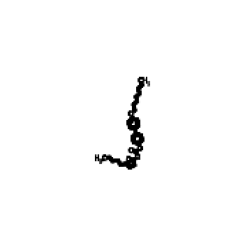 CCCCCCCCOc1ccc(-c2ccc(OC(=O)Oc3ccc(CCCCC)o3)cc2)cc1